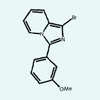 COc1cccc(-c2nc(Br)c3ccccn23)c1